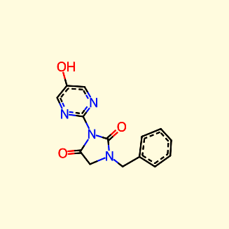 O=C1CN(Cc2ccccc2)C(=O)N1c1ncc(O)cn1